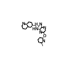 Cc1cccc(Oc2cnc(N)c(NCc3ccc4ncccc4c3)n2)n1